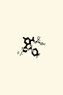 CC(=N[S+]([O-])C(C)(C)C)c1cc(C)cc2c1nc(N1CCC(F)(F)CC1)n1cc(C(F)(F)F)nc21